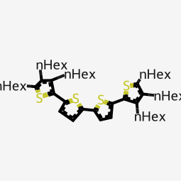 CCCCCCc1sc(-c2ccc(-c3ccc(-c4sc(CCCCCC)c(CCCCCC)c4CCCCCC)s3)s2)c(CCCCCC)c1CCCCCC